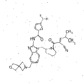 CC(C)C=C(C#N)C(=O)N1CCCC1Cn1c(NC(=O)c2ccc(C(F)F)s2)nc2cc(CN3CC4(COC4)C3)ccc21